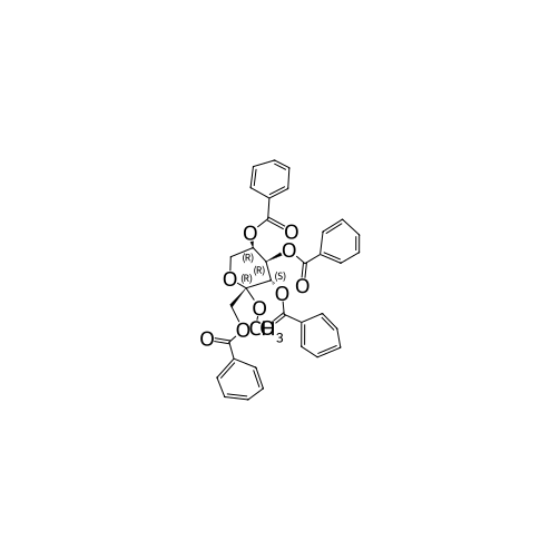 CO[C@]1(COC(=O)c2ccccc2)OC[C@@H](OC(=O)c2ccccc2)[C@@H](OC(=O)c2ccccc2)[C@@H]1OC(=O)c1ccccc1